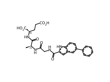 C[C@H](NC(=O)CNC(=O)c1cc2cc(-c3ccccc3)ccc2[nH]1)C(=O)N[C@H](CCC(=O)O)C(=O)O